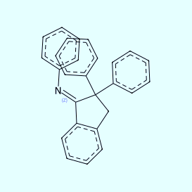 c1ccc(/N=C2/c3ccccc3CC2(c2ccccc2)c2ccccc2)cc1